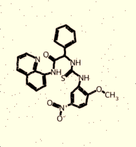 COc1ccc([N+](=O)[O-])cc1NC(=S)NC(C(=O)Nc1cccc2cccnc12)c1ccccc1